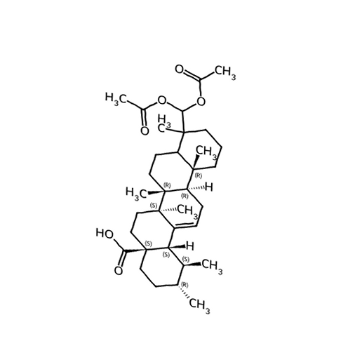 CC(=O)OC(OC(C)=O)C1(C)CCC[C@@]2(C)C1CC[C@]1(C)[C@@H]2CC=C2[C@@H]3[C@@H](C)[C@H](C)CC[C@]3(C(=O)O)CC[C@]21C